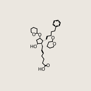 O=C(O)CCCC=CC[C@@H]1[C@@H](/C=C/C(CCc2ccccc2)OC2CCCCO2)[C@H](OC2CCCCO2)C[C@@H]1O